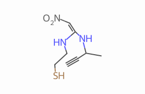 C#CC(C)NC(=C[N+](=O)[O-])NCCS